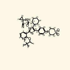 CC(Oc1ncccc1-c1nc([C@@H]2CCCC[C@H]2C(=O)NC2(C#N)CC2)c(-c2ccc(N3CCS(=O)(=O)CC3)cc2)s1)C(F)(F)F